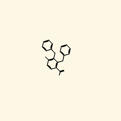 NC(=O)c1ccc(I)c(Cc2ccccc2)c1Cc1ccccc1